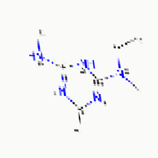 CCN(C)C1=NC(C)N=C(NC)N1